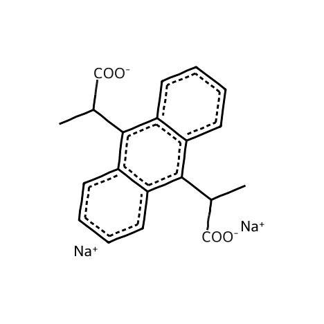 CC(C(=O)[O-])c1c2ccccc2c(C(C)C(=O)[O-])c2ccccc12.[Na+].[Na+]